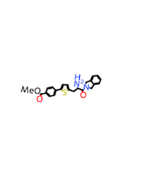 COC(=O)c1ccc(-c2ccc(CC(N)C(=O)N3Cc4ccccc4C3)s2)cc1